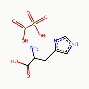 NC(Cc1c[nH]cn1)C(=O)O.O=S(O)S(=O)(=O)O